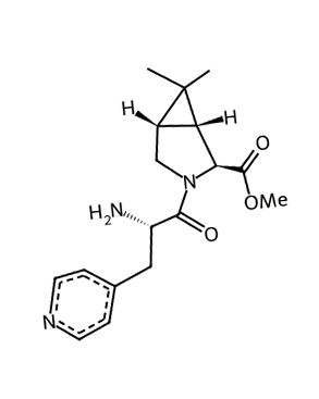 COC(=O)[C@@H]1[C@@H]2[C@H](CN1C(=O)[C@@H](N)Cc1ccncc1)C2(C)C